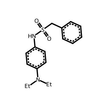 CCN(CC)c1ccc(NS(=O)(=O)Cc2ccccc2)cc1